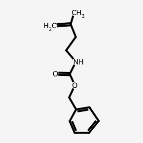 C=C(C)CCNC(=O)OCc1ccccc1